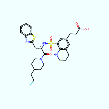 O=C(O)CCc1cc2c(c(S(=O)(=O)N[C@@H](Cc3nc4ccccc4s3)C(=O)N3CCC(CCF)CC3)c1)NCCC2